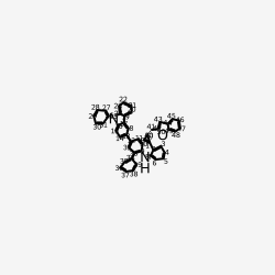 C1=C(c2ccccc2Nc2ccc(-c3ccc4c(c3)c3ccccc3n4-c3ccccc3)cc2-c2ccccc2)[C@H]1Cc1cc2ccccc2o1